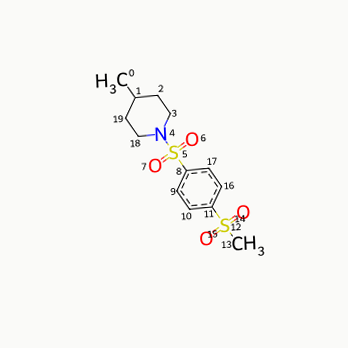 CC1CCN(S(=O)(=O)c2ccc(S(C)(=O)=O)cc2)CC1